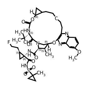 COc1ccc2nc3c(nc2c1)O[C@H]1CN(C(=O)[C@H](C(C)(C)C)NC(=O)O[C@@H]2CC2CCCCC3)[C@H](C(=O)N[C@]2(C(=O)NS(=O)(=O)C3(C)CC3)C[C@H]2CCF)[C@@H]1C